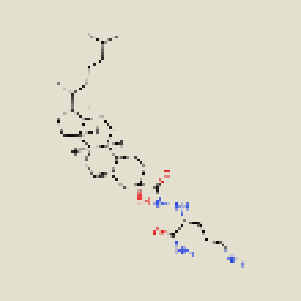 CC(C)CCC[C@@H](C)[C@H]1CC[C@H]2[C@@H]3CC=C4C[C@@](O)(C(=O)NN[C@@H](CCCN)C(N)=O)CC[C@]4(C)[C@H]3CC[C@]12C